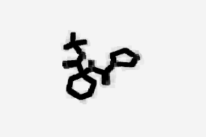 CC(C)(C)OC(=O)C1(NC(=O)N2CCSC2)CCCCC1